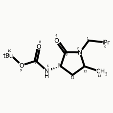 CC(C)CN1C(=O)[C@@H](NC(=O)OC(C)(C)C)CC1C